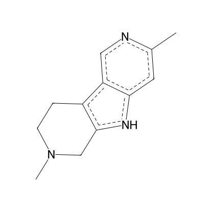 Cc1cc2[nH]c3c(c2cn1)CCN(C)C3